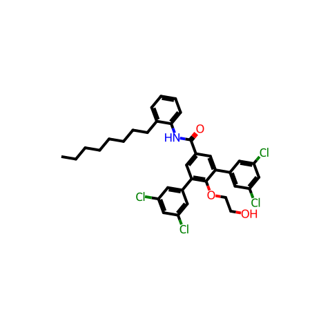 CCCCCCCCc1ccccc1NC(=O)c1cc(-c2cc(Cl)cc(Cl)c2)c(OCCO)c(-c2cc(Cl)cc(Cl)c2)c1